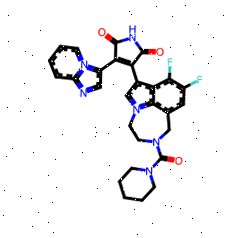 O=C1NC(=O)C(c2cnc3ccccn23)=C1c1cn2c3c(cc(F)c(F)c13)CN(C(=O)N1CCCCC1)CC2